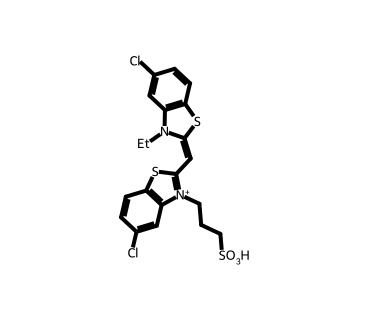 CCN1/C(=C\c2sc3ccc(Cl)cc3[n+]2CCCS(=O)(=O)O)Sc2ccc(Cl)cc21